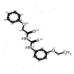 CCOc1cccc(NC(=S)NC(=O)COc2ccccc2)c1